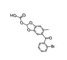 Cc1cc2c(cc1C(=O)c1ccccc1Br)OC(OC(=O)O)O2